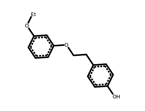 CCOc1[c]c(OCCc2ccc(O)cc2)ccc1